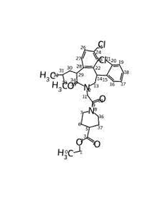 CCOC(=O)C1CCN(C(=O)CN2CC(c3ccccc3Cl)c3cc(Cl)ccc3C(CC(C)C)C2=O)CC1